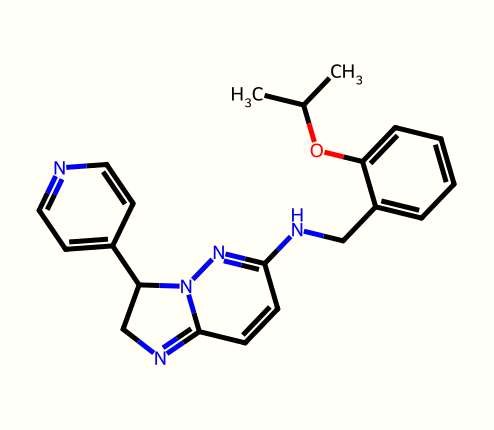 CC(C)Oc1ccccc1CNC1=NN2C(=NCC2c2ccncc2)C=C1